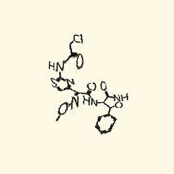 CON=C(C(=O)NC1C(=O)NOC1c1ccccc1)c1csc(NC(=O)CCl)n1